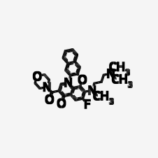 CN(C)CCCN(C)c1c(F)cc2c(=O)c(C(=O)N3CCOCC3)cn3c2c1Oc1cc2ccccc2cc1-3